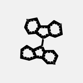 c1ccc2c(c1)c1cnccc1p2-p1c2ccncc2c2cnccc21